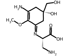 COC1=C(N)C[C@@](O)(CO)C/C1=N\[C@@H](CN)C(=O)O